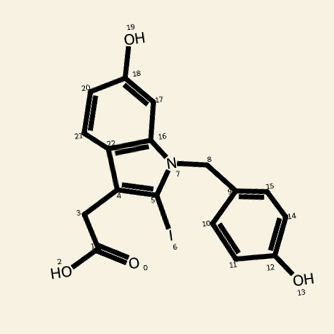 O=C(O)Cc1c(I)n(Cc2ccc(O)cc2)c2cc(O)ccc12